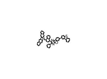 c1ccc(-c2nc3oc4cc(-c5ccc6sc7ccccc7c6c5)ccc4c3nc2-c2ccc(-n3c4cc5ccccc5cc4c4cc5ccccc5cc43)c3ccccc23)cc1